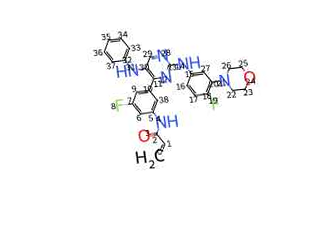 C=CC(=O)Nc1cc(F)cc(-c2nc(Nc3ccc(F)c(N4CCOCC4)c3)ncc2Nc2ccccc2)c1